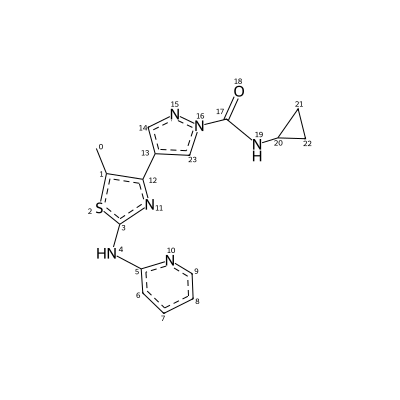 Cc1sc(Nc2ccccn2)nc1-c1cnn(C(=O)NC2CC2)c1